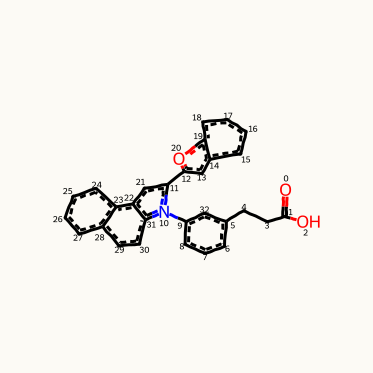 O=C(O)CCc1cccc(-n2c(-c3cc4ccccc4o3)cc3c4ccccc4ccc32)c1